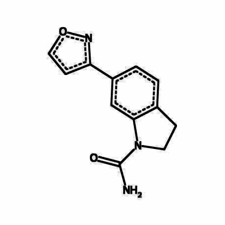 NC(=O)N1CCc2ccc(-c3ccon3)cc21